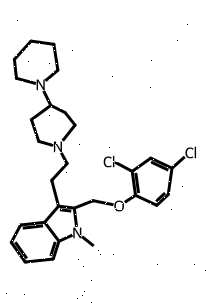 Cn1c(COc2ccc(Cl)cc2Cl)c(CCN2CCC(N3CCCCC3)CC2)c2ccccc21